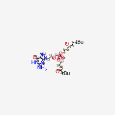 CC(C)(C)CCC(=O)SCCOP(=O)(COCCn1cnc2c(=O)[nH]c(N)nc21)OCCSC(=O)C(C)(C)C